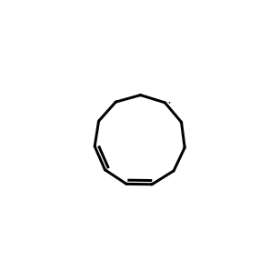 [CH]1CCCC=CC=CCCC1